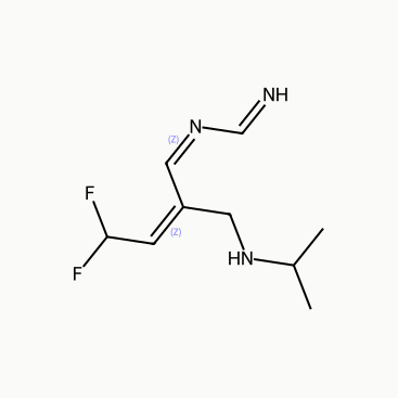 CC(C)NCC(/C=N\C=N)=C/C(F)F